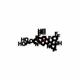 CC1(C)Cc2nc(C3CCN(c4ncc(OC[C@@H](O)CO)cn4)CC3)c([C@@H](F)c3ccc(C(F)(F)F)cc3)c(C3CCC(F)(F)CC3)c2[C@@H](O)C1.Cl.Cl